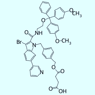 COc1ccc(C(OCCNC(=O)c2c(Br)c3ccc(-c4cccnc4)cc3n2Cc2ccc(COC(=O)CCC(=O)O)cc2)(c2ccccc2)c2ccc(OC)cc2)cc1